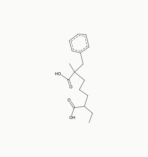 CCC(CCCC(C)(Cc1ccccc1)C(=O)O)C(=O)O